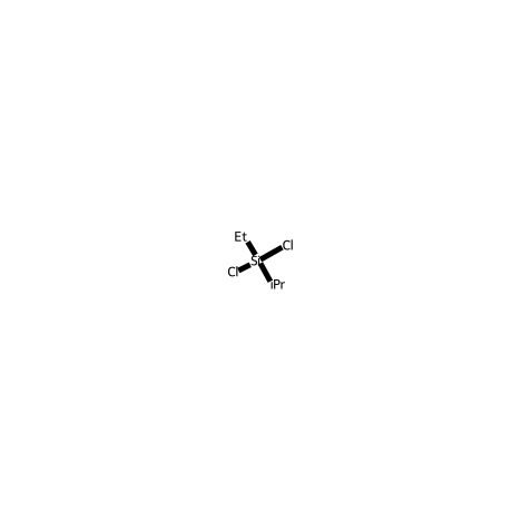 CC[Si](Cl)(Cl)C(C)C